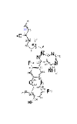 C/C=C/C(=O)N1CC[C@@H](Cn2nc(-c3ccc(Oc4c(F)c(F)cc(F)c4F)cc3F)c3c(N)ncnc32)C1